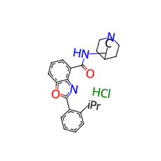 CC(C)c1ccccc1-c1nc2c(C(=O)NC3CN4CCC3CC4)cccc2o1.Cl